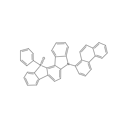 O=P1(c2ccccc2)c2ccccc2-c2ccc3c(c21)c1ccccc1n3-c1cccc2c1ccc1ccccc12